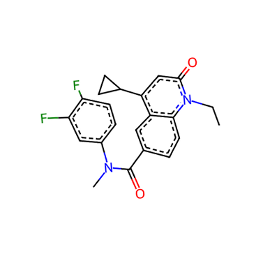 CCn1c(=O)cc(C2CC2)c2cc(C(=O)N(C)c3ccc(F)c(F)c3)ccc21